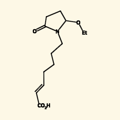 CCOC1CCC(=O)N1CCCCC=CC(=O)O